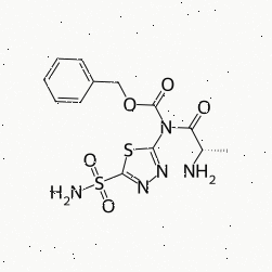 C[C@H](N)C(=O)N(C(=O)OCc1ccccc1)c1nnc(S(N)(=O)=O)s1